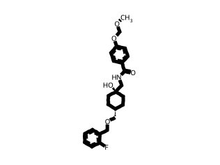 COCOc1ccc(C(=O)NC[C@]2(O)CC[C@H](COCc3ccccc3F)CC2)cc1